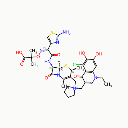 CCn1cc(C[N+]2(CC3=C(C)N4C(=O)[C@@H](NC(=O)/C(=N\OC(C)(C)C(=O)O)c5csc(N)n5)[C@H]4S[C@H]3C)CCCC2)c(=O)c2c(Cl)c(O)c(O)cc21